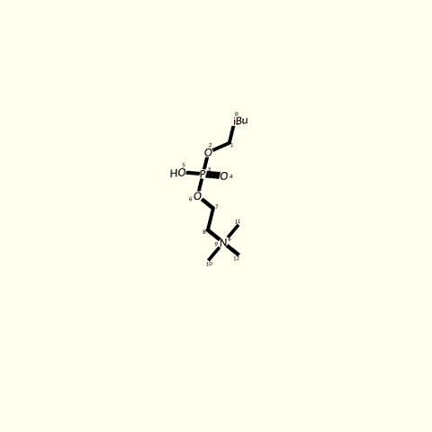 CCC(C)COP(=O)(O)OCC[N+](C)(C)C